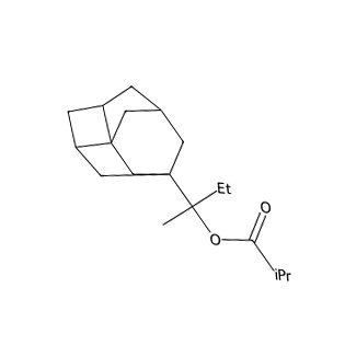 CCC(C)(OC(=O)C(C)C)C12CC3CC4CC(C1)C4(C3)C2